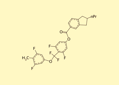 CCCC1Cc2ccc(C(=O)Oc3cc(F)c(C(F)(F)Oc4cc(F)c(C)c(F)c4)c(F)c3)cc2C1